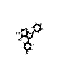 O=c1[nH]cnc2c1c(-c1ccc(Cl)cc1)cn2-c1ccccc1